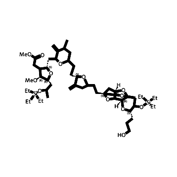 C=C1C(C)CC(CC[C@@H]2OC(CC[C@@]34C[C@H]5OC6C(O3)C(O[Si](CC)(CC)CC)[C@H](CCCO)O[C@H]6C5O4)CC2=C)OC1C[C@@H]1O[C@H](CC(C)O[Si](CC)(CC)CC)[C@H](OC)C1CC(=O)OC